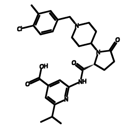 Cc1cc(CN2CCC(N3C(=O)CC[C@@H]3C(=O)Nc3cc(C(=O)O)cc(C(C)C)n3)CC2)ccc1Cl